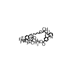 C[C@H](COCCCCN(Cc1ccc(OC(F)(F)F)c(Cl)c1)C(=O)OC(C)(C)C)ON1Cc2cc(C(=O)O)ccc2-c2ncccc21